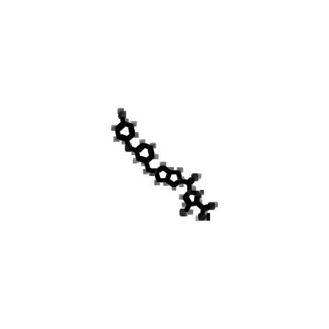 O=C(O)c1nn(C(=O)N2CC3CN(Cc4cccc(Oc5ccc(Cl)cc5)c4)CC3C2)cc1Cl